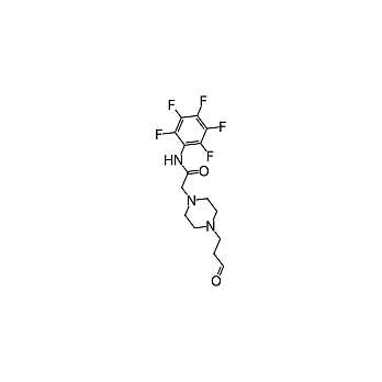 O=CCCN1CCN(CC(=O)Nc2c(F)c(F)c(F)c(F)c2F)CC1